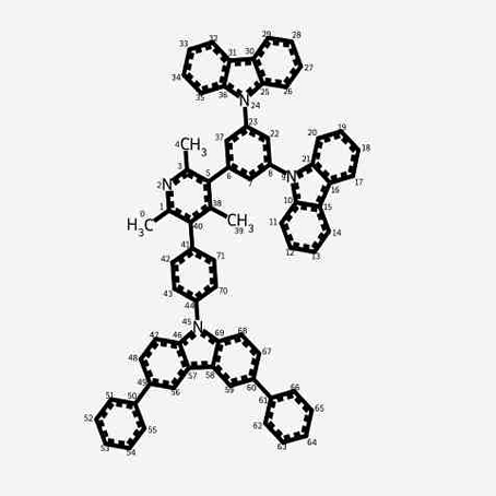 Cc1nc(C)c(-c2cc(-n3c4ccccc4c4ccccc43)cc(-n3c4ccccc4c4ccccc43)c2)c(C)c1-c1ccc(-n2c3ccc(-c4ccccc4)cc3c3cc(-c4ccccc4)ccc32)cc1